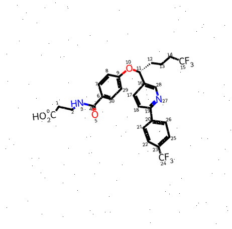 O=C(O)CCNC(=O)c1ccc(O[C@H](CCCC(F)(F)F)c2ccc(-c3ccc(C(F)(F)F)cc3)nc2)cc1